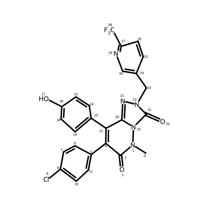 Cn1c(=O)c(-c2ccc(Cl)cc2)c(-c2ccc(O)cc2)c2nn(Cc3ccc(C(F)(F)F)nc3)c(=O)n21